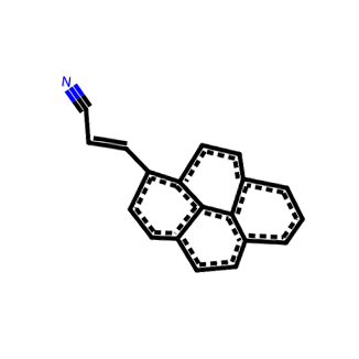 N#CC=Cc1ccc2ccc3cccc4ccc1c2c34